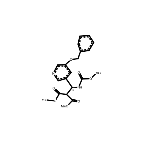 COC(=O)C(C(=O)OC(C)(C)C)[C@H](NC(=O)OC(C)(C)C)c1cncc(OCc2ccccc2)c1